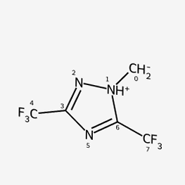 [CH2-][NH+]1N=C(C(F)(F)F)N=C1C(F)(F)F